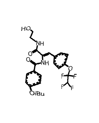 CC(C)COc1ccc(C(=O)N/C(=C\c2ccc(OC(F)(F)C(F)F)cc2)C(=O)NCCO)cc1